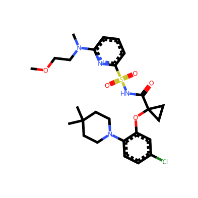 COCCN(C)c1cccc(S(=O)(=O)NC(=O)C2(Oc3cc(Cl)ccc3N3CCC(C)(C)CC3)CC2)n1